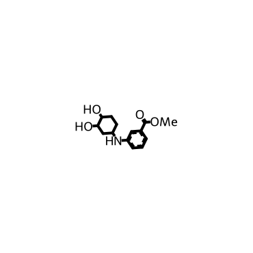 COC(=O)c1cccc(NC2CCC(O)C(O)C2)c1